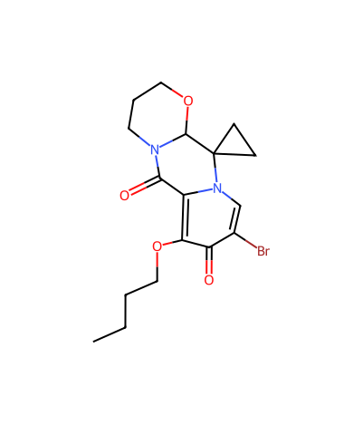 CCCCOc1c2n(cc(Br)c1=O)C1(CC1)C1OCCCN1C2=O